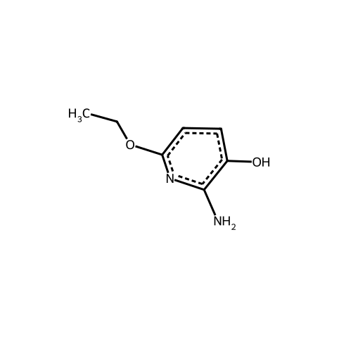 CCOc1ccc(O)c(N)n1